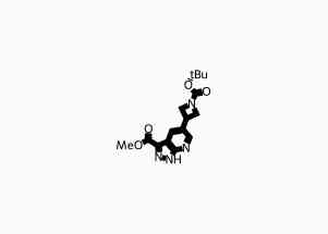 COC(=O)c1n[nH]c2ncc(C3CN(C(=O)OC(C)(C)C)C3)cc12